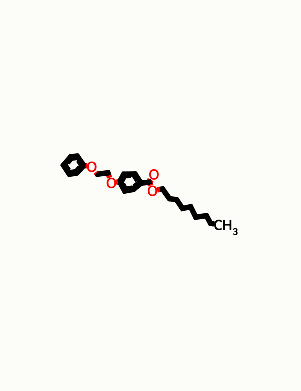 CCCCCCCCCOC(=O)c1ccc(OCCOc2ccccc2)cc1